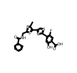 Cc1nc(CNC(=O)c2ccccc2)sc1-c1csc(-c2cc(O)c(C(=O)O)cc2F)n1